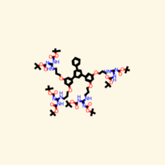 CC(C)(C)OC(=O)/N=C(/NCCCOc1cc(OCCCN/C(=N\C(=O)OC(C)(C)C)NC(=O)OC(C)(C)C)cc(-c2cc(-c3ccccc3)cc(-c3cc(OCCCN/C(=N\C(=O)OC(C)(C)C)NC(=O)OC(C)(C)C)cc(OCCCN/C(=N\C(=O)OC(C)(C)C)NC(=O)OC(C)(C)C)c3)c2)c1)NC(=O)OC(C)(C)C